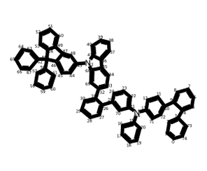 c1ccc(-c2ccccc2-c2ccc(N(c3ccccc3)c3cccc(-c4ccccc4-c4ccc5c6ccccc6n(-c6ccc7c(c6)-c6ccccc6C7(c6ccccc6)c6ccccc6)c5c4)c3)cc2)cc1